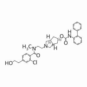 CN(CCN1C[C@H]2C[C@H](OC(=O)Nc3ccccc3-c3ccccc3)C[C@H]2C1)C(=O)c1ccc(CCO)cc1Cl